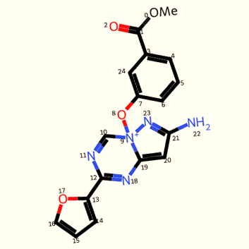 COC(=O)c1cccc(O[N+]23C=NC(c4ccco4)=NC2=CC(N)=N3)c1